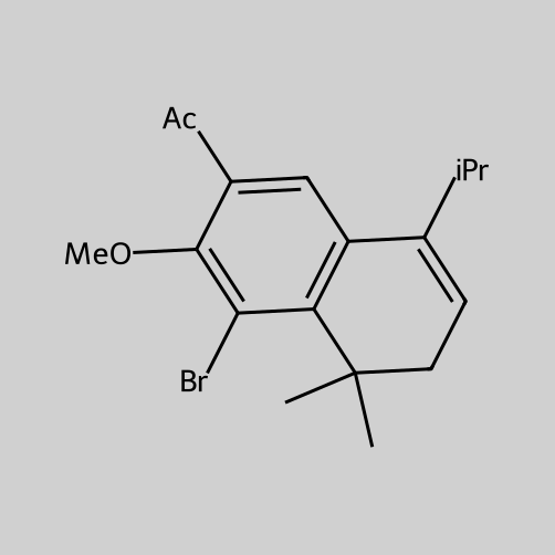 COc1c(C(C)=O)cc2c(c1Br)C(C)(C)CC=C2C(C)C